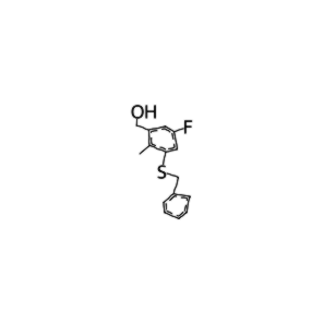 Cc1c(CO)cc(F)cc1SCc1ccccc1